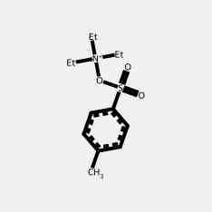 CC[N+](CC)(CC)OS(=O)(=O)c1ccc(C)cc1